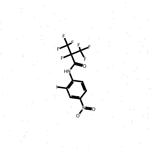 O=C(Nc1ccc([N+](=O)[O-])cc1I)C(F)(C(F)(F)F)C(F)(F)F